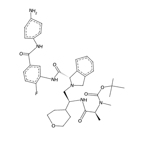 C[C@@H](C(=O)N[C@H](CN1Cc2ccccc2[C@H]1C(=O)Nc1cc(C(=O)Nc2ccc(N)cc2)ccc1F)C1CCOCC1)N(C)C(=O)OC(C)(C)C